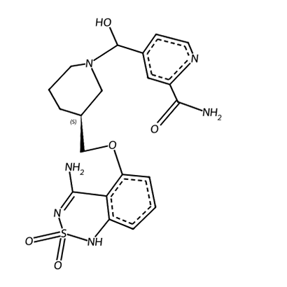 NC(=O)c1cc(C(O)N2CCC[C@H](COc3cccc4c3C(N)=NS(=O)(=O)N4)C2)ccn1